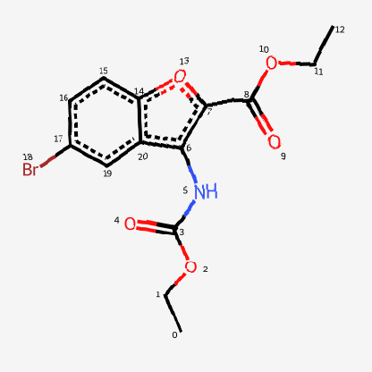 CCOC(=O)Nc1c(C(=O)OCC)oc2ccc(Br)cc12